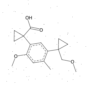 COCC1(c2cc(C3(C(=O)O)CC3)c(OC)cc2C)CC1